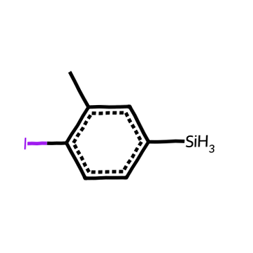 Cc1cc([SiH3])ccc1I